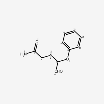 NC(=O)CNC(C=O)Oc1ccccc1